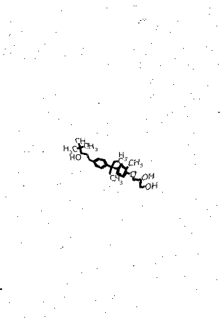 CCC(CC)(c1ccc(CCC(O)C(C)(C)C)cc1)c1ccc(OCC(O)CO)c(C)c1